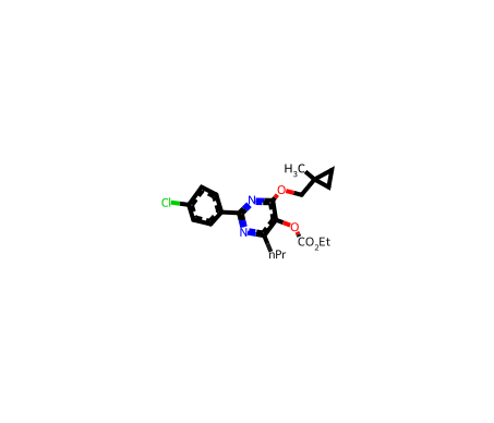 CCCc1nc(-c2ccc(Cl)cc2)nc(OCC2(C)CC2)c1OC(=O)OCC